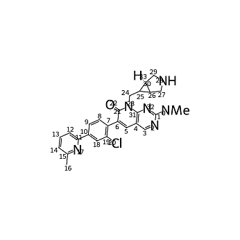 CNc1ncc2cc(-c3ccc(-c4cccc(C)n4)cc3Cl)c(=O)n(CC3C4CNC[C@@H]43)c2n1